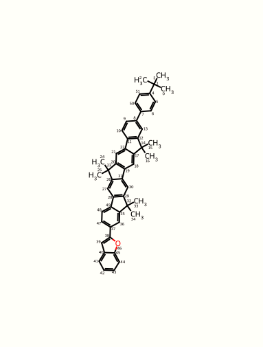 CC(C)(C)c1ccc(-c2ccc3c(c2)C(C)(C)c2cc4c(cc2-3)C(C)(C)c2cc3c(cc2-4)C(C)(C)c2cc(-c4cc5ccccc5o4)ccc2-3)cc1